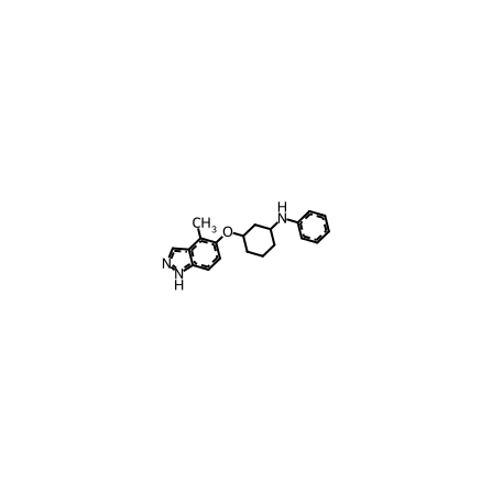 Cc1c(OC2CCCC(Nc3ccccc3)C2)ccc2[nH]ncc12